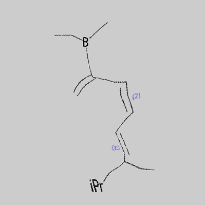 C=C(/C=C\C=C(/C)C(C)C)B(C)C